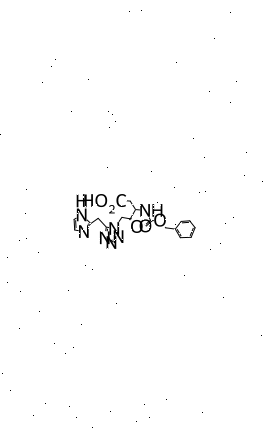 O=C(O)CC(NC(=O)OCc1ccccc1)C(=O)Cn1nnnc1Cc1ncc[nH]1